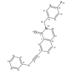 O=c1c2cc(C#CCc3ccccc3)ccc2ccn1Cc1ccc(F)cc1